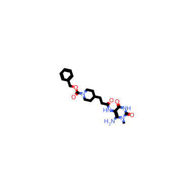 Cn1c(N)c(NC(=O)CCC2CCN(C(=O)OCc3ccccc3)CC2)c(=O)[nH]c1=O